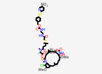 COc1cc2cc(c1Cl)N(C)C(=O)C[C@H](OC(=O)[C@H](C)N(C)C(=O)CCC(C)(C)SCC(=O)NCCNC(=O)OCc1ccc(SSc3ccc([N+](=O)[O-])cn3)cc1)[C@@]1(C)C[C@H]1[C@H](C)[C@@H]1C[C@@](O)(NC(=O)O1)[C@H](OC)/C=C/C=C(\C)C2